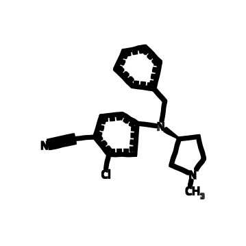 CN1CC[C@H](N(Cc2ccccc2)c2ccc(C#N)c(Cl)c2)C1